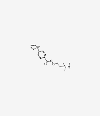 C=C[Si](C)(C=C)c1ccc(C(=O)OO[CH]CC(C)(C)OC)cc1